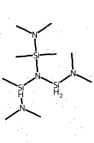 CN(C)[SiH2]N([SiH](C)N(C)C)[Si](C)(C)N(C)C